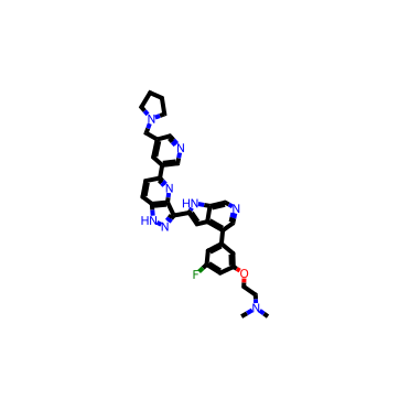 CN(C)CCOc1cc(F)cc(-c2cncc3[nH]c(-c4n[nH]c5ccc(-c6cncc(CN7CCCC7)c6)nc45)cc23)c1